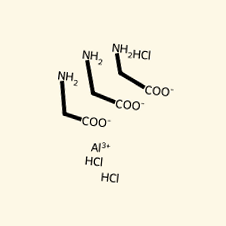 Cl.Cl.Cl.NCC(=O)[O-].NCC(=O)[O-].NCC(=O)[O-].[Al+3]